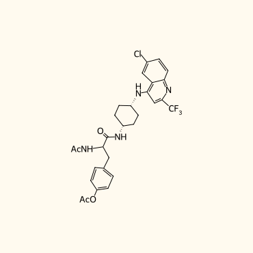 CC(=O)NC(Cc1ccc(OC(C)=O)cc1)C(=O)N[C@H]1CC[C@@H](Nc2cc(C(F)(F)F)nc3ccc(Cl)cc23)CC1